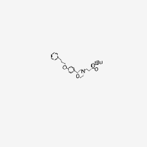 CC(C)(C)OC(=O)CCN1CCOC(c2ccc(OCCCc3ccccc3)cc2)C1